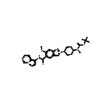 COc1cc2nn(C3CCC(N(C)C(=O)OC(C)(C)C)CC3)cc2cc1C(=O)Nc1cnn2cnccc12